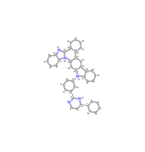 c1ccc(-c2ccnc(-c3cccc(-n4c5ccccc5c5cc6c7ccccc7c7nc8ccccc8n7c6cc54)c3)n2)cc1